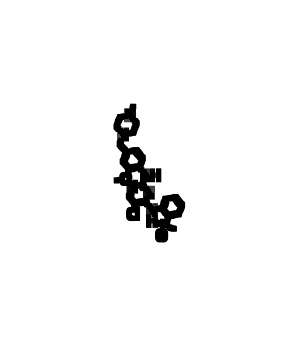 COc1cc(CN2CCN(C)CC2)ccc1Nc1ncc(Cl)c(Nc2ccccc2P(C)(C)=O)n1